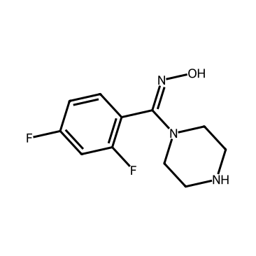 ON=C(c1ccc(F)cc1F)N1CCNCC1